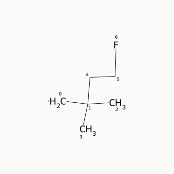 [CH2]C(C)(C)CCF